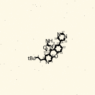 CC(C)(C)CCc1cc2c(cn1)Oc1ccc(-c3cncnc3)cc1[C@@]21COC(N)=N1